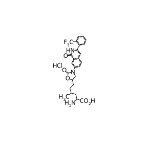 CC(CCC1CN(c2ccc3cc(-c4ccccc4C(F)(F)F)[nH]c(=O)c3c2)C(=O)O1)CC(N)C(=O)O.Cl